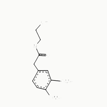 COc1ccc(CC(=O)NCCO)cc1OC